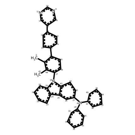 Cc1c(-c2ccc(-c3cncnc3)cc2)ccc(-n2c3ccccc3c3cc(N(c4ccccc4)c4ccccc4)ccc32)c1C